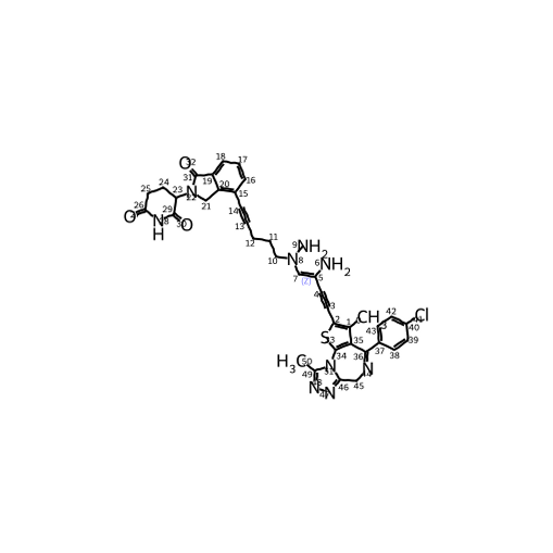 Cc1c(C#C/C(N)=C/N(N)CCCC#Cc2cccc3c2CN(C2CCC(=O)NC2=O)C3=O)sc2c1C(c1ccc(Cl)cc1)=NCc1nnc(C)n1-2